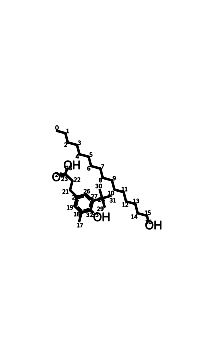 CCCCCCCCCCCCCCCCO.Cc1cc(CCC(=O)O)cc(C(C)(C)C)c1O